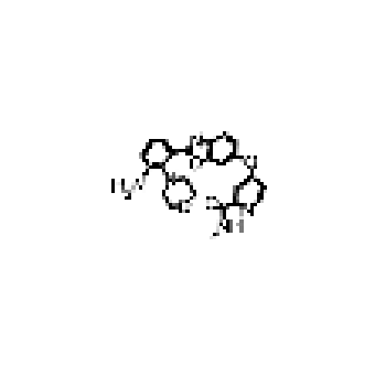 CNC(=O)c1cc(Oc2ccc3nc(-c4cccc(N)c4N4CCOCC4)oc3c2)ccn1